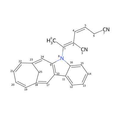 C/C(=C(C#N)\C=C/CC#N)n1c2c(c3ccccc31)C=C1C=CC=CC(=C2)C1